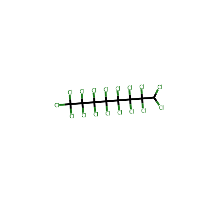 ClC(Cl)C(Cl)(Cl)C(Cl)(Cl)C(Cl)(Cl)C(Cl)(Cl)C(Cl)(Cl)C(Cl)(Cl)C(Cl)(Cl)Cl